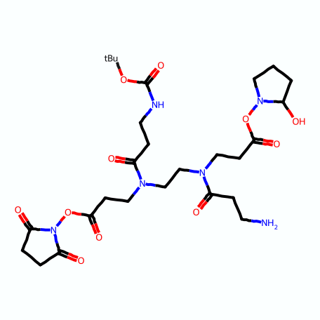 CC(C)(C)OC(=O)NCCC(=O)N(CCC(=O)ON1C(=O)CCC1=O)CCN(CCC(=O)ON1CCCC1O)C(=O)CCN